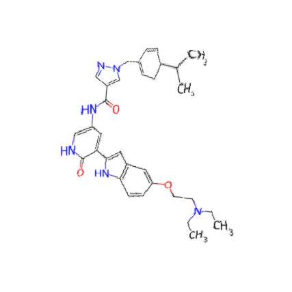 CCN(CC)CCOc1ccc2[nH]c(-c3cc(NC(=O)c4cnn(CC5=CCC(C(C)C)C=C5)c4)c[nH]c3=O)cc2c1